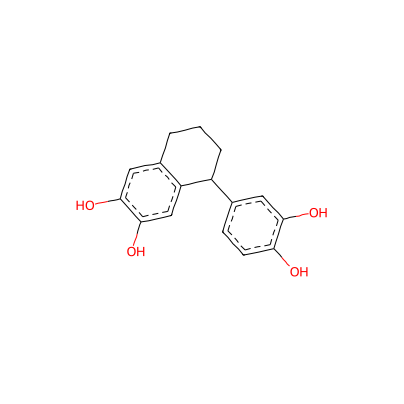 Oc1ccc(C2CCCc3cc(O)c(O)cc32)cc1O